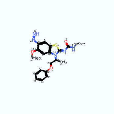 CCCCCCCCNC(=O)N=c1sc2cc(N=N)c(OCCCCCC)cc2n1C(C)COc1ccccc1